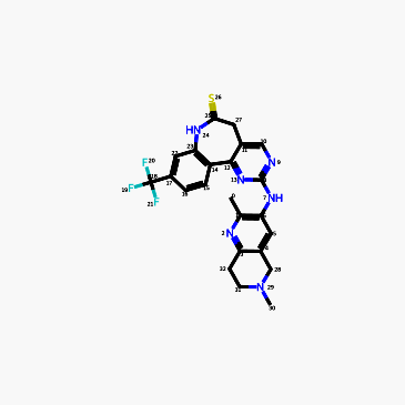 Cc1nc2c(cc1Nc1ncc3c(n1)-c1ccc(C(F)(F)F)cc1NC(=S)C3)CN(C)CC2